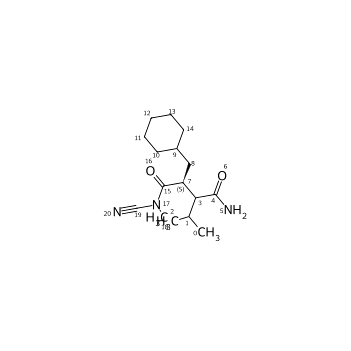 CC(C)C(C(N)=O)[C@H](CC1CCCCC1)C(=O)N(C)C#N